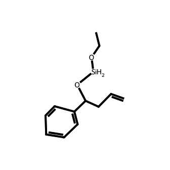 C=CCC(O[SiH2]OCC)c1ccccc1